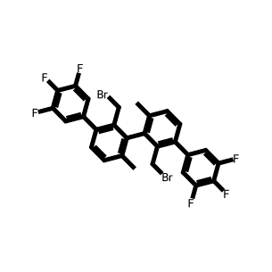 Cc1ccc(-c2cc(F)c(F)c(F)c2)c(CBr)c1-c1c(C)ccc(-c2cc(F)c(F)c(F)c2)c1CBr